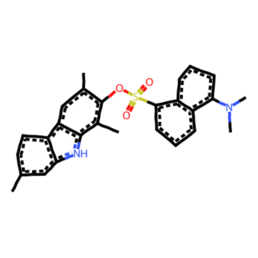 Cc1ccc2c(c1)[nH]c1c(C)c(OS(=O)(=O)c3cccc4c(N(C)C)cccc34)c(C)cc12